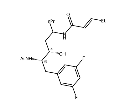 CCC=CC(=O)NC(CCC)C[C@H](O)[C@H](Cc1cc(F)cc(F)c1)NC(C)=O